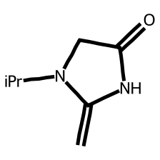 C=C1NC(=O)CN1C(C)C